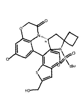 CC(C)(C)S(=O)(=O)N1C[C@H](N2C(=O)COc3cc(Cl)cc(-c4ccnc5cc(CO)sc45)c32)CC12CCC2